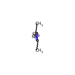 CCCCCCCCCc1ccc(/N=C/C(CCCC)=N/c2ccc(CCCCCCCCC)cc2)cc1.[Ni]